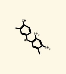 Cc1cc(Nc2ccc(O)c(C)c2)c(N)cc1N